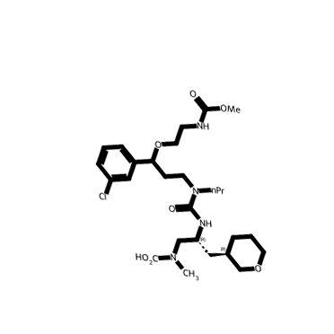 CCCN(CCC(OCCNC(=O)OC)c1cccc(Cl)c1)C(=O)N[C@H](C[C@H]1CCCOC1)CN(C)C(=O)O